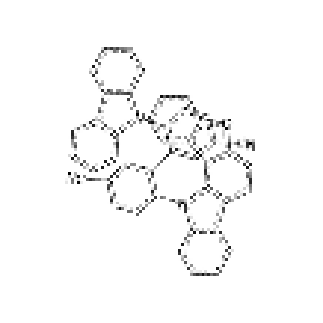 N#Cc1ccc(-n2c3ccccc3c3ccccc32)c(-c2cc(C#N)ccc2-n2c3ccccc3c3ccc4oc5ccccc5c4c32)c1